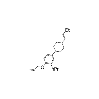 C=CCOc1ccc(C2CCC(/C=C/CC)CC2)cc1CCC